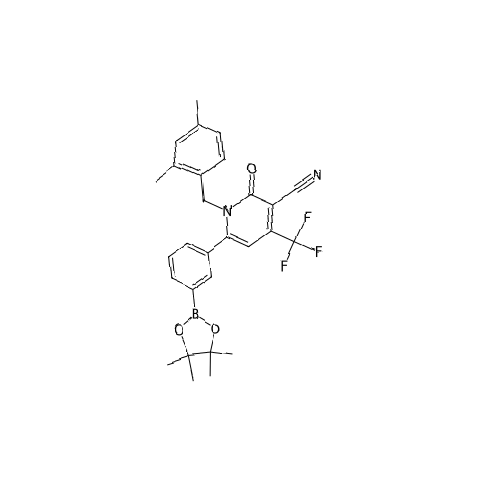 Cc1ccc(Cn2c(-c3cccc(B4OC(C)(C)C(C)(C)O4)c3)cc(C(F)(F)F)c(C#N)c2=O)c(C)c1